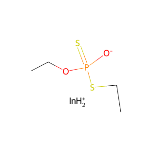 CCOP([O-])(=S)SCC.[InH2+]